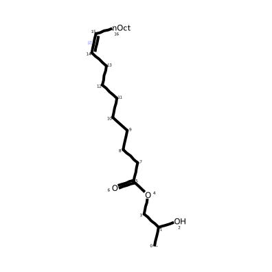 [CH2]C(O)COC(=O)CCCCCCC/C=C\CCCCCCCC